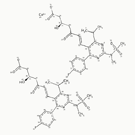 CC(C)c1nc(N(C)S(C)(=O)=O)nc(-c2ccc(F)cc2)c1C=CC(=O)C[C@@H](O)CC(=O)[O-].CC(C)c1nc(N(C)S(C)(=O)=O)nc(-c2ccc(F)cc2)c1C=CC(=O)C[C@@H](O)CC(=O)[O-].[Ca+2]